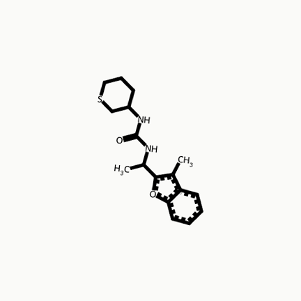 Cc1c(C(C)NC(=O)NC2CCCSC2)oc2ccccc12